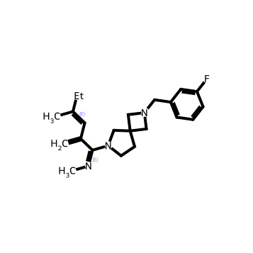 C=C(/C=C(\C)CC)/C(=N\C)N1CCC2(CN(Cc3cccc(F)c3)C2)C1